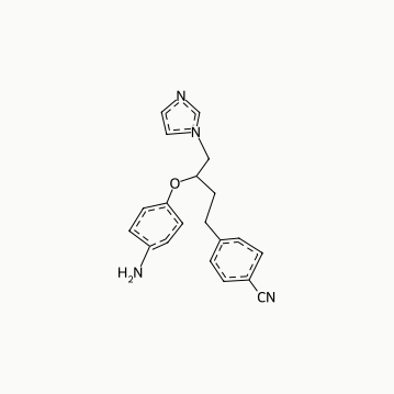 N#Cc1ccc(CCC(Cn2ccnc2)Oc2ccc(N)cc2)cc1